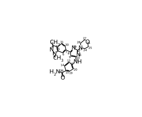 Cc1nn(C)c2cc(-c3cc(Nc4ccc(C(N)=O)cc4)nc(N4CCOCC4)n3)ccc12